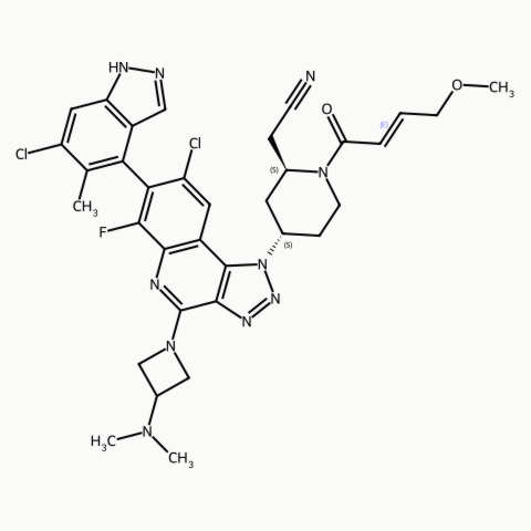 COC/C=C/C(=O)N1CC[C@H](n2nnc3c(N4CC(N(C)C)C4)nc4c(F)c(-c5c(C)c(Cl)cc6[nH]ncc56)c(Cl)cc4c32)C[C@H]1CC#N